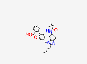 CCCCc1nc2ccc(NC(=O)C(C)(C)C)cc2n1Cc1ccc(-c2ccccc2C(=O)O)cc1